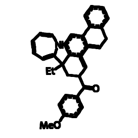 CCC1(C2=CC=CC=CN2)CC(C(=O)c2ccc(OC)cc2)C=c2c1ccc1c2=CCc2ccccc2-1